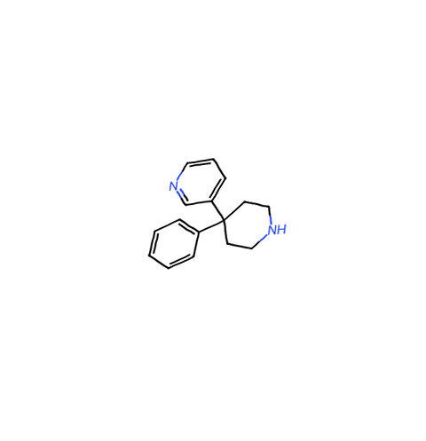 c1ccc(C2(c3cccnc3)CCNCC2)cc1